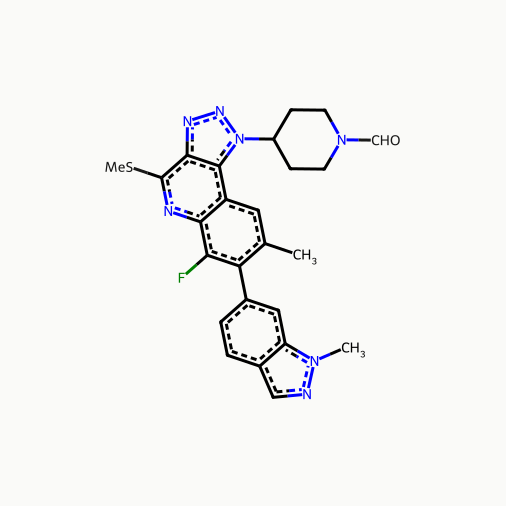 CSc1nc2c(F)c(-c3ccc4cnn(C)c4c3)c(C)cc2c2c1nnn2C1CCN(C=O)CC1